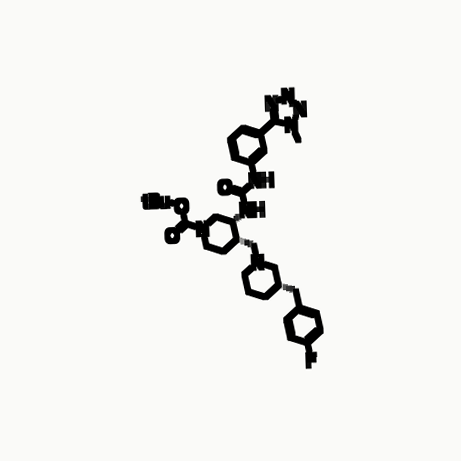 Cn1nnnc1-c1cccc(NC(=O)N[C@H]2CN(C(=O)OC(C)(C)C)CC[C@H]2CN2CCC[C@@H](Cc3ccc(F)cc3)C2)c1